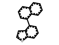 c1ccc2c(-c3cccc4occc34)cccc2c1